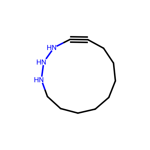 C1#CNNNCCCCCCCC1